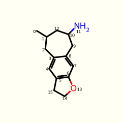 CC1Cc2cc3c(cc2CC(N)C1)OCC3